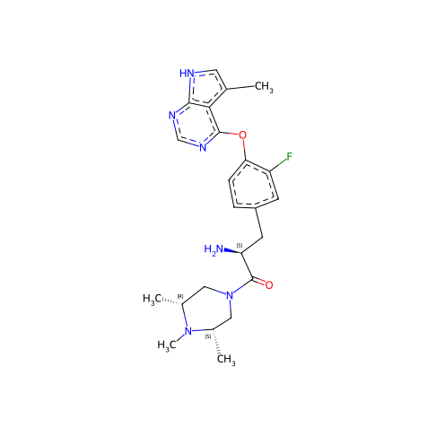 Cc1c[nH]c2ncnc(Oc3ccc(C[C@H](N)C(=O)N4C[C@@H](C)N(C)[C@@H](C)C4)cc3F)c12